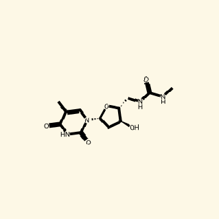 CNC(=O)NC[C@H]1O[C@@H](n2cc(C)c(=O)[nH]c2=O)C[C@@H]1O